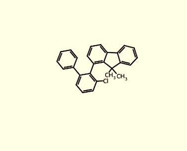 CC1(C)c2ccccc2-c2cccc(-c3c(Cl)cccc3-c3ccccc3)c21